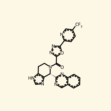 O=C(c1nnc(-c2ccc(C(F)(F)F)cn2)o1)N1CCc2[nH]cnc2[C@H]1c1ncc2ccccc2n1